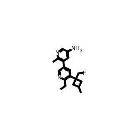 CCc1ncc(-c2cc(N)cnc2C)cc1C1(CF)CC(C)C1